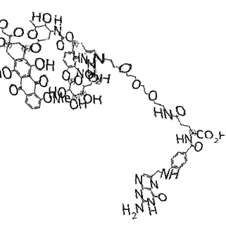 COc1cccc2c1C(=O)c1c(O)c3c(c(O)c1C2=O)C[C@@](O)(C(=O)CO)C[C@@H]3OC1CC(NC(=O)O[C@H](CC2=CN(CCOCCOCCOCCNC(=O)CC[C@H](NC(=O)c3ccc(NCc4cnc5nc(N)[nH]c(=O)c5n4)cc3)C(=O)O)NN2)c2ccc(O[C@@H]3OC(CO)[C@H](O)[C@H](O)C3O)c([N+](=O)[O-])c2)C(O)C(C)O1